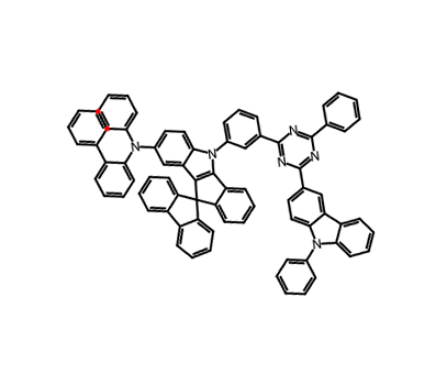 c1ccc(-c2nc(-c3cccc(-n4c5c(c6cc(N(c7ccccc7)c7ccccc7-c7ccccc7)ccc64)C4(c6ccccc6-c6ccccc64)c4ccccc4-5)c3)nc(-c3ccc4c(c3)c3ccccc3n4-c3ccccc3)n2)cc1